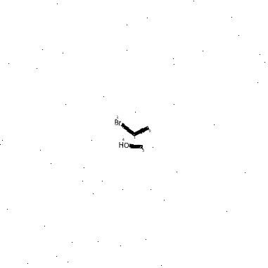 CCBr.CO